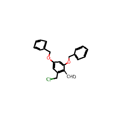 O=Cc1c(CCl)cc(OCc2ccccc2)cc1OCc1ccccc1